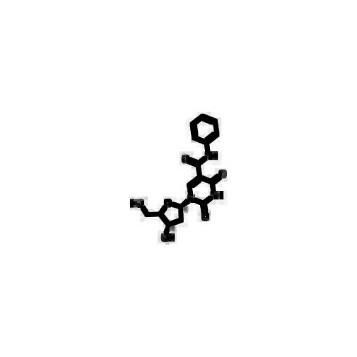 O=C(Nc1ccccc1)c1cn([C@H]2C[C@@H](O)C(CO)O2)c(=O)[nH]c1=O